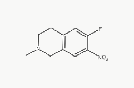 CN1CCc2cc(F)c([N+](=O)[O-])cc2C1